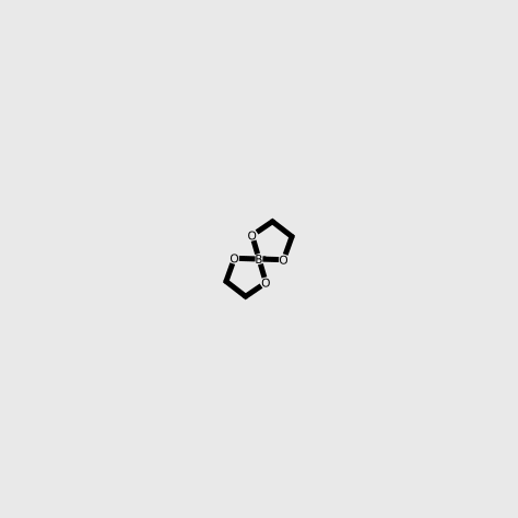 C1CO[B-]2(O1)OCCO2